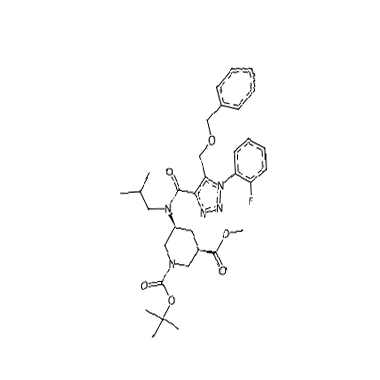 COC(=O)[C@@H]1C[C@H](N(CC(C)C)C(=O)c2nnn(-c3ccccc3F)c2COCc2ccccc2)CN(C(=O)OC(C)(C)C)C1